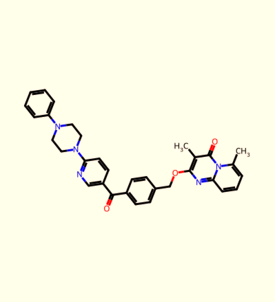 Cc1c(OCc2ccc(C(=O)c3ccc(N4CCN(c5ccccc5)CC4)nc3)cc2)nc2cccc(C)n2c1=O